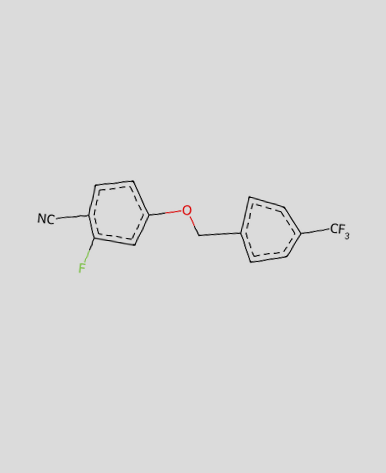 N#Cc1ccc(OCc2ccc(C(F)(F)F)cc2)cc1F